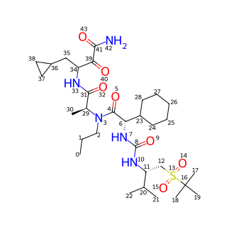 CCCN(C(=O)[C@@H](NC(=O)N[C@H](CS(=O)(=O)C(C)(C)C)C(C)C)C1CCCCC1)[C@@H](C)C(=O)NC(CC1CC1)C(=O)C(N)=O